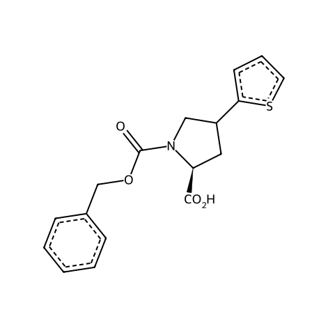 O=C(O)[C@@H]1CC(c2cccs2)CN1C(=O)OCc1ccccc1